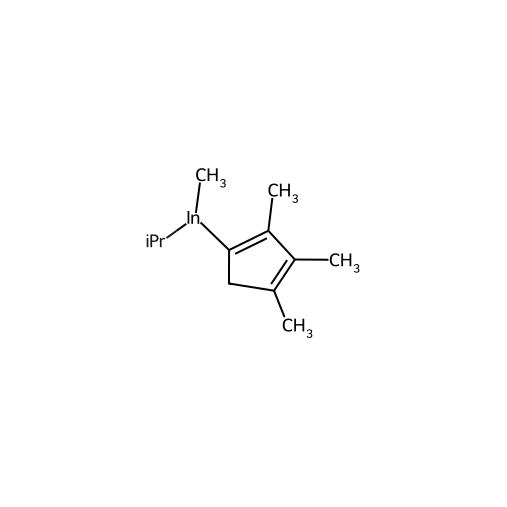 CC1=C(C)C(C)=[C]([In]([CH3])[CH](C)C)C1